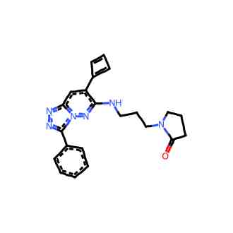 O=C1CCCN1CCCNc1nn2c(-c3ccccc3)nnc2cc1C1=CC=C1